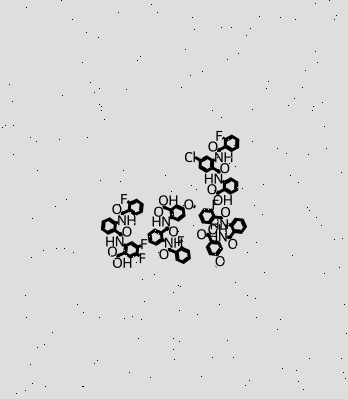 COc1ccc(C(=O)O)c(NC(=O)c2ccccc2NC(=O)c2ccccc2F)c1.COc1ccc(NC(=O)c2ccccc2NC(=O)c2ccccc2F)c(C(=O)O)c1.O=C(Nc1cc(Cl)ccc1C(=O)Nc1ccccc1C(=O)O)c1ccccc1F.O=C(Nc1ccccc1C(=O)Nc1cc(F)c(F)cc1C(=O)O)c1ccccc1F